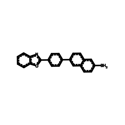 Bc1ccc2cc(-c3ccc(-c4nc5ccccc5o4)cc3)ccc2c1